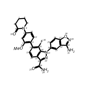 COc1cc(N2CCCCC2=O)ccc1-c1ccc2c(C(N)=O)nn(-c3ccc4onc(N)c4c3)c2c1F